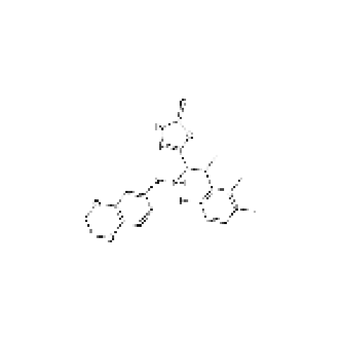 Cc1ccc(F)c(C(C)C(NSc2ccc3c(c2)OCCO3)c2n[nH]c(=O)o2)c1C